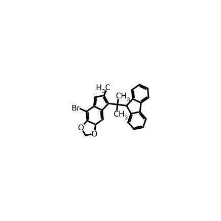 CC1=C(C(C)(C)C2c3ccccc3-c3ccccc32)C2=CC3OCOC3=C(Br)C2=C1